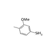 COc1cc([SiH3])ccc1C